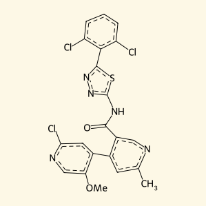 COc1cnc(Cl)cc1-c1cc(C)ncc1C(=O)Nc1nnc(-c2c(Cl)cccc2Cl)s1